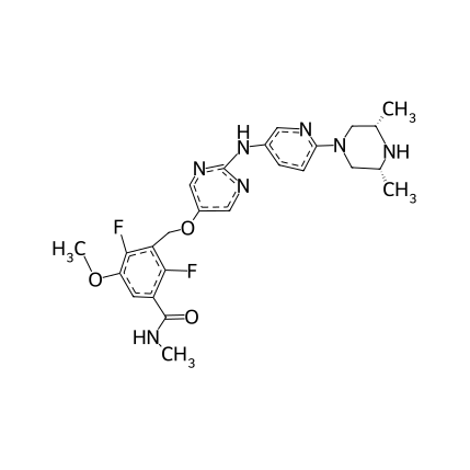 CNC(=O)c1cc(OC)c(F)c(COc2cnc(Nc3ccc(N4C[C@@H](C)N[C@@H](C)C4)nc3)nc2)c1F